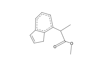 COC(=O)C(C)c1cccc2c1CC=C2